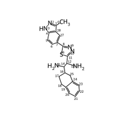 Cc1n[nH]c2ccc(-c3nnc(C(N)C(N)C4CCc5ccccc5C4)s3)cc12